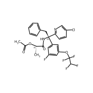 CC(=O)O[C@@H](C)C(=O)N[C@@](Cc1ccccc1)(c1cc(F)cc(OC(F)(F)C(F)F)c1)c1ccc(Cl)cn1